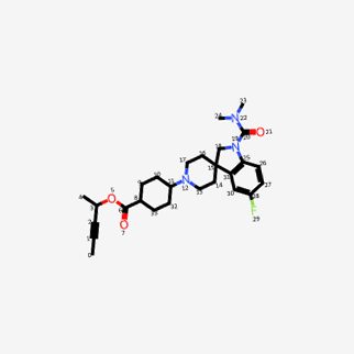 CC#CC(C)OC(=O)C1CCC(N2CCC3(CC2)CN(C(=O)N(C)C)c2ccc(F)cc23)CC1